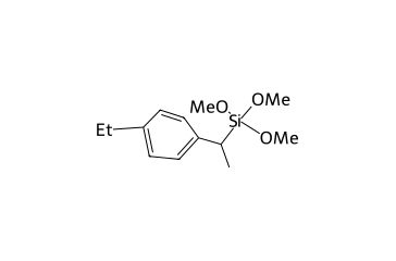 CCc1ccc(C(C)[Si](OC)(OC)OC)cc1